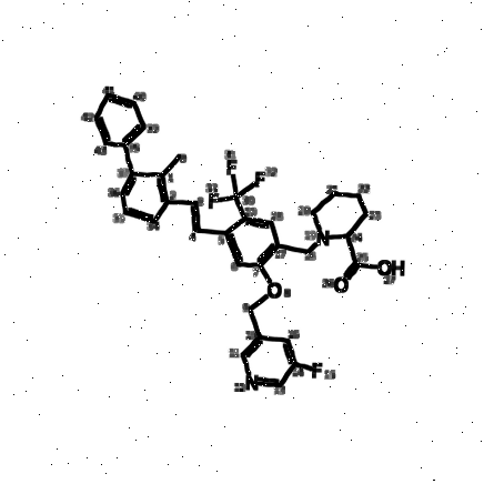 Cc1c(C=Cc2cc(OCc3cncc(F)c3)c(CN3CCCCC3C(=O)O)cc2C(F)(F)F)cccc1-c1ccccc1